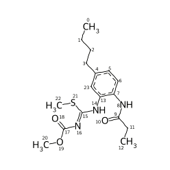 CCCCc1ccc(NC(=O)CC)c(NC(=NC(=O)OC)SC)c1